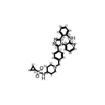 O=S(=O)(NC1CCN(Cc2ccc(-c3nnc4n3-c3cccnc3Nc3ccccc3-4)cc2)CC1)C1CC1